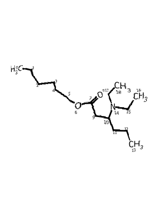 CCCCCCOC(=O)CC(CCC)N(CC)CC